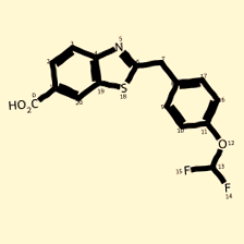 O=C(O)c1ccc2nc(Cc3ccc(OC(F)F)cc3)sc2c1